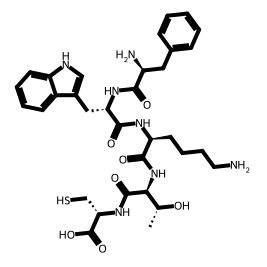 C[C@@H](O)[C@H](NC(=O)[C@H](CCCCN)NC(=O)[C@H](Cc1c[nH]c2ccccc12)NC(=O)[C@@H](N)Cc1ccccc1)C(=O)N[C@@H](CS)C(=O)O